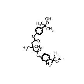 CC(C)(CC(=O)Oc1ccc(C(C)(C)OO)cc1)CC(=O)Oc1ccc(C(C)(C)OO)cc1